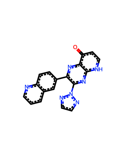 O=c1cc[nH]c2nc(-n3nccn3)c(-c3ccc4ncccc4c3)nc12